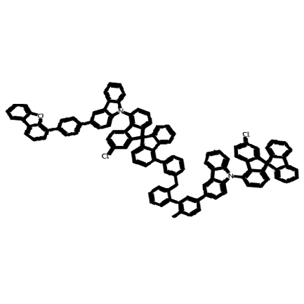 Cc1ccc(-c2ccc3c(c2)c2ccccc2n3-c2cccc3c2-c2ccc(Cl)cc2C32c3ccccc3-c3ccccc32)cc1-c1ccccc1Cc1cccc(-c2cccc3c2-c2ccccc2C32c3cc(Cl)ccc3-c3c(-n4c5ccccc5c5cc(-c6ccc(-c7cccc8c7oc7ccccc78)cc6)ccc54)cccc32)c1